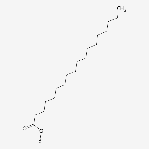 CCCCCCCCCCCCCCCCCC(=O)OBr